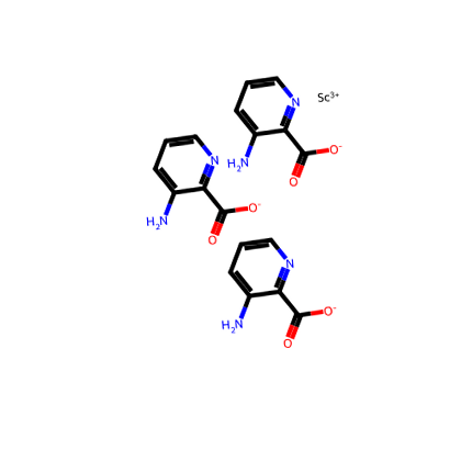 Nc1cccnc1C(=O)[O-].Nc1cccnc1C(=O)[O-].Nc1cccnc1C(=O)[O-].[Sc+3]